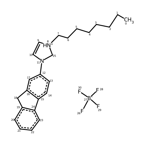 CCCCCCCC[NH+]1C=CN(c2ccc3c(c2)Cc2ccccc2-3)C1.F[B-](F)(F)F